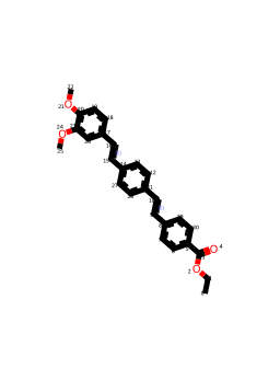 CCOC(=O)c1ccc(/C=C/c2ccc(/C=C/c3ccc(OC)c(OC)c3)cc2)cc1